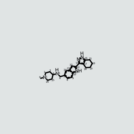 CN1CCC(NCc2ccc3[nH]c(-c4n[nH]c5c4CCCC5)cc3c2)CC1